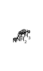 Cc1c(C[S+]([O-])CCc2ccccc2)oc2cccc(OCCCC(N)c3cccnc3)c12